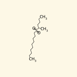 CCCCCCCCCCS(=O)(=O)C(C)CCCC